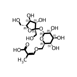 CC(=COC[C@H]1O[C@H](O[C@]2(CO)O[C@H](CO)[C@@H](O)[C@@H]2O)[C@H](O)[C@@H](O)[C@@H]1O)C(=O)O